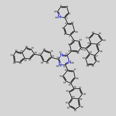 c1ccc(-c2ccc(-c3cc(-c4nc(-c5ccc(-c6ccc7ccccc7c6)cc5)nc(-c5ccc(-c6ccc7ccccc7c6)cc5)n4)cc(-c4c5ccccc5cc5ccccc45)c3)cc2)nc1